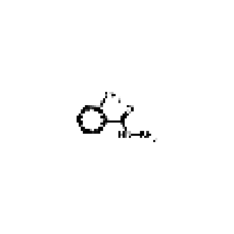 BNC(=O)c1ccccc1C